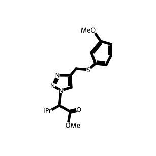 COC(=O)C(C(C)C)n1cc(CSc2cccc(OC)c2)nn1